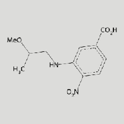 COC(C)CNc1cc(C(=O)O)ccc1[N+](=O)[O-]